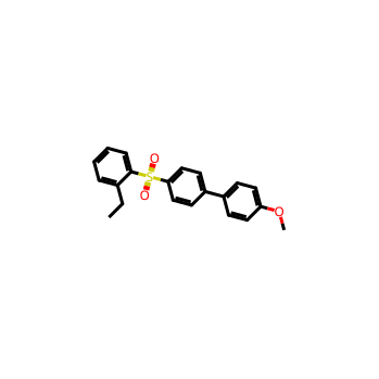 CCc1ccccc1S(=O)(=O)c1ccc(-c2ccc(OC)cc2)cc1